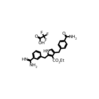 CCOC(=O)c1c(Cc2ccc(C(N)=O)cc2)c[nH]c1Cc1cccc(C(=N)N)c1.O=C(O)C(F)(F)F